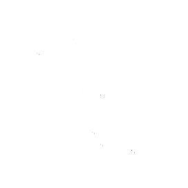 CC1=NCc2ccc(Nc3n[nH]c4ncccc34)cc21